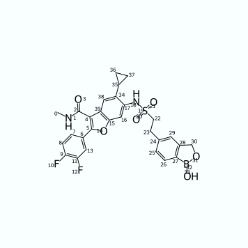 CNC(=O)c1c(-c2ccc(F)c(F)c2)oc2cc(NS(=O)(=O)CCc3ccc4c(c3)COB4O)c(C3CC3)cc12